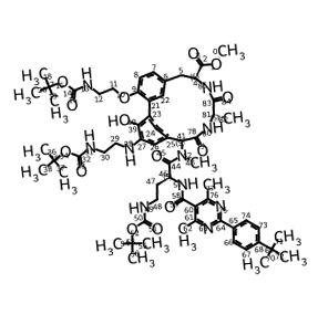 COC(=O)[C@@H]1Cc2ccc(OCCNC(=O)OC(C)(C)C)c(c2)-c2cc(cc(NCCNC(=O)OC(C)(C)C)c2O)[C@H](N(C)C(=O)[C@H](CCNC(=O)OC(C)(C)C)NC(=O)c2c(C)nc(-c3ccc(C(C)(C)C)cc3)nc2C)C(=O)N[C@@H](C)C(=O)N1